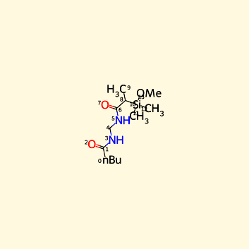 CCCCC(=O)NCNC(=O)C(C)[Si](C)(C)OC